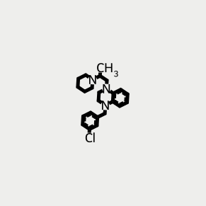 CC(CN1CCN(Cc2cccc(Cl)c2)c2ccccc21)N1CCCCC1